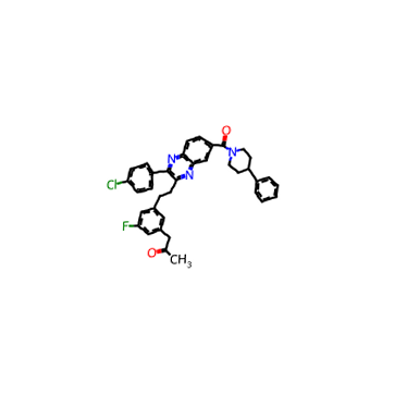 CC(=O)Cc1cc(F)cc(CCc2nc3cc(C(=O)N4CCC(c5ccccc5)CC4)ccc3nc2-c2ccc(Cl)cc2)c1